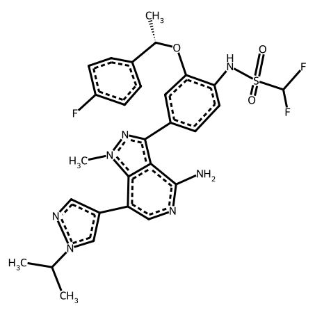 CC(C)n1cc(-c2cnc(N)c3c(-c4ccc(NS(=O)(=O)C(F)F)c(O[C@@H](C)c5ccc(F)cc5)c4)nn(C)c23)cn1